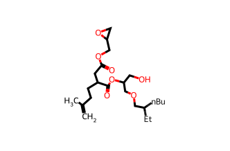 C=C(C)CCC(CC(=O)OCC1CO1)C(=O)OC(CO)COCC(CC)CCCC